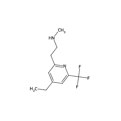 CCc1cc(CCNC)nc(C(F)(F)F)c1